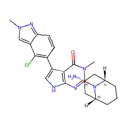 Cn1cc2c(Cl)c(-c3c[nH]c4nc(N5[C@@H]6CCC[C@H]5C[C@@H](N)C6)n(C)c(=O)c34)ccc2n1